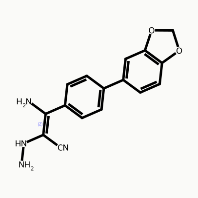 N#C/C(NN)=C(/N)c1ccc(-c2ccc3c(c2)OCO3)cc1